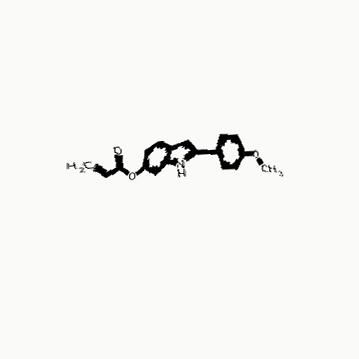 C=CC(=O)Oc1ccc2cc(-c3ccc(OC)cc3)[nH]c2c1